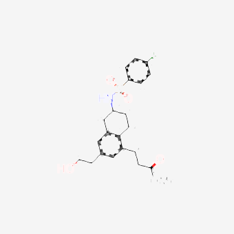 COC(=O)CCc1cc(CCO)cc2c1CCC(NS(=O)(=O)c1ccc(Cl)cc1)C2